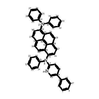 c1ccc(-c2ccc(N(c3ccccc3)c3ccc4ccc5c(N(c6ccccc6)c6ccccc6)ccc6ccc3c4c65)nc2)cc1